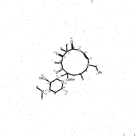 COC1(C)CC(C)CN(CC(C)C)C=COC(=O)C(C)(C)C(=O)C(C)C1O[C@@H]1O[C@H](C)C[C@H](N(C)C)[C@H]1O